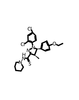 CCOc1ccc([C@H]2[C@@H](C)C(C(=S)NN3CCCCC3)=NN2c2ccc(Cl)cc2Cl)cc1